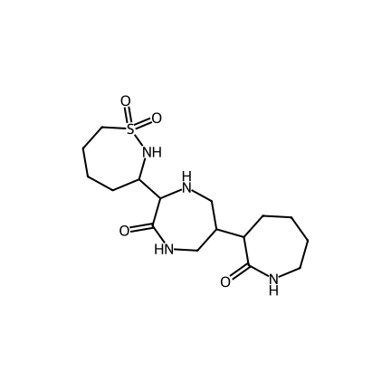 O=C1NCCCCC1C1CNC(=O)C(C2CCCCS(=O)(=O)N2)NC1